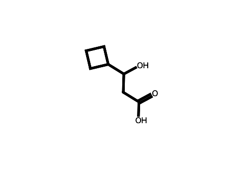 O=C(O)CC(O)C1CCC1